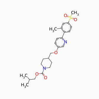 Cc1cc(S(C)(=O)=O)ccc1-c1ccc(OCC2CCN(C(=O)OCC(C)C)CC2)cn1